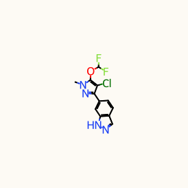 Cn1nc(-c2ccc3cn[nH]c3c2)c(Cl)c1OC(F)F